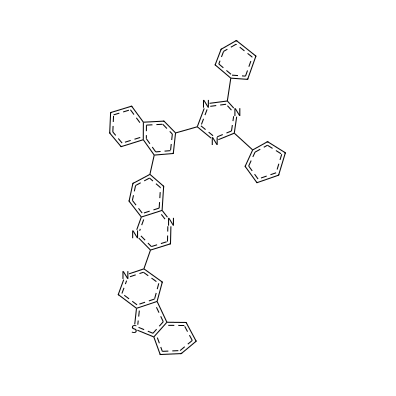 c1ccc(-c2nc(-c3ccccc3)nc(-c3cc(-c4ccc5nc(-c6cc7c(cn6)sc6ccccc67)cnc5c4)c4ccccc4c3)n2)cc1